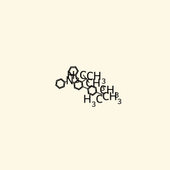 CC(C)(C)c1ccc(-c2ccc3c(c2C(C)(C)C)c2ccccc2n3-c2ccccc2)cc1